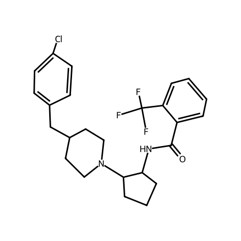 O=C(NC1CCCC1N1CCC(Cc2ccc(Cl)cc2)CC1)c1ccccc1C(F)(F)F